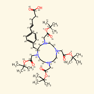 CC(C)(C)OC(=O)CN1CCN(CC(=O)OC(C)(C)C)CCN(CC(=O)OC(C)(C)C)[C@@H](Cc2ccc(C=CCCC(=O)O)cc2)CN(CC(=O)OC(C)(C)C)CC1